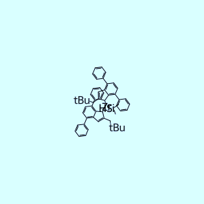 C[SiH](C)[Zr]([CH]1C(CC(C)(C)C)=Cc2c(-c3ccccc3)ccc(-c3ccccc3)c21)[CH]1C(CC(C)(C)C)=Cc2c(-c3ccccc3)ccc(-c3ccccc3)c21